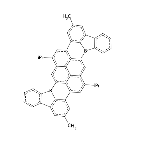 Cc1cc2c3c(c1)-c1cc(C(C)C)c4cc5c6c(cc(C(C)C)c7cc(c1c4c76)B3c1ccccc1-2)-c1cc(C)cc2c1B5c1ccccc1-2